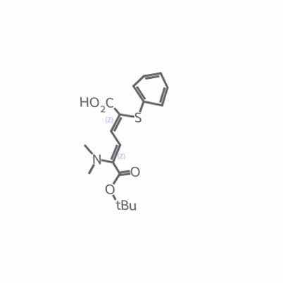 CN(C)/C(=C\C=C(/Sc1ccccc1)C(=O)O)C(=O)OC(C)(C)C